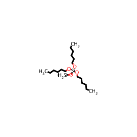 CCCCCCO[Si](O[SiH2])(OCCCCCC)OCCCCCC